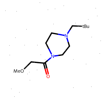 COCC(=O)N1CCN(CC(C)(C)C)CC1